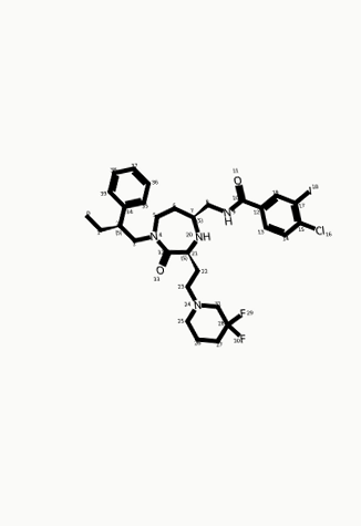 CC[C@H](CN1CC[C@@H](CNC(=O)c2ccc(Cl)c(I)c2)N[C@@H](CCN2CCCC(F)(F)C2)C1=O)c1ccccc1